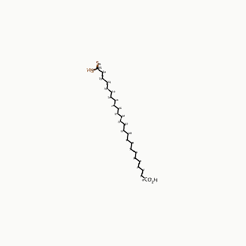 O=C(O)CCCCCCCCCCCCCCCCCCCCCCCCC(=S)S